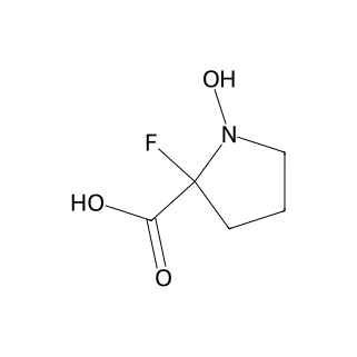 O=C(O)C1(F)CCCN1O